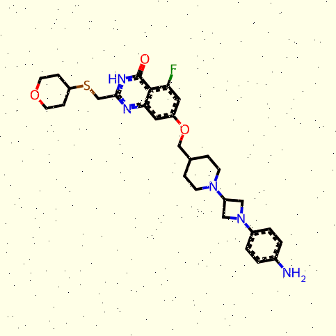 Nc1ccc(N2CC(N3CCC(COc4cc(F)c5c(=O)[nH]c(CSC6CCOCC6)nc5c4)CC3)C2)cc1